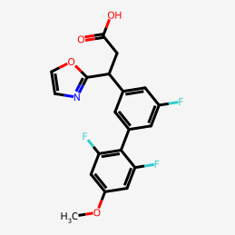 COc1cc(F)c(-c2cc(F)cc(C(CC(=O)O)c3ncco3)c2)c(F)c1